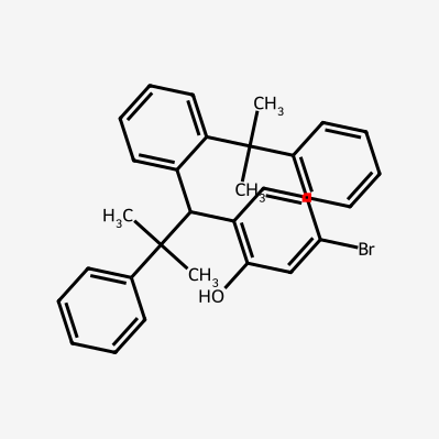 CC(C)(c1ccccc1)c1ccccc1C(c1ccc(Br)cc1O)C(C)(C)c1ccccc1